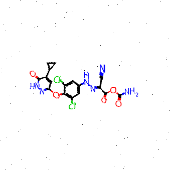 N#C/C(=N\Nc1cc(Cl)c(Oc2cc(C3CC3)c(=O)[nH]n2)c(Cl)c1)C(=O)OC(N)=O